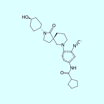 [C-]#[N+]c1cc(NC(=O)C2CCCC2)ccc1N1CCC[C@]2(CCN([C@H]3CC[C@H](O)CC3)C2=O)C1